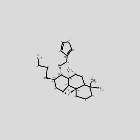 CC1(C)CCC[C@@]2(C)C1CC[C@@]1(C)C2CC[C@@H](CCCO)[C@@H]1CCc1ccoc1